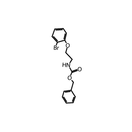 O=C(NCCOc1ccccc1Br)OCc1ccccc1